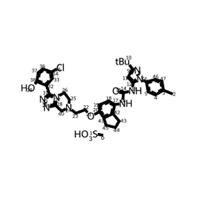 CS(=O)(=O)O.Cc1ccc(-n2nc(C(C)(C)C)cc2NC(=O)Nc2ccc(OCCN3CCn4c(nnc4-c4cc(Cl)ccc4O)C3)c3c2CCC3)cc1